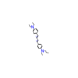 CCCN(CC)c1ccc(/C=C/C=C/c2ccc(N(CC)CC)cc2)cc1